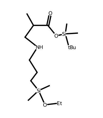 CCO[Si](C)(C)CCCNCC(C)C(=O)O[Si](C)(C)C(C)(C)C